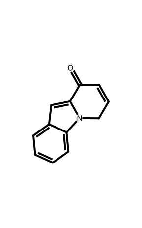 O=C1C=CCn2c1cc1ccccc12